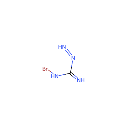 N=NC(=N)NBr